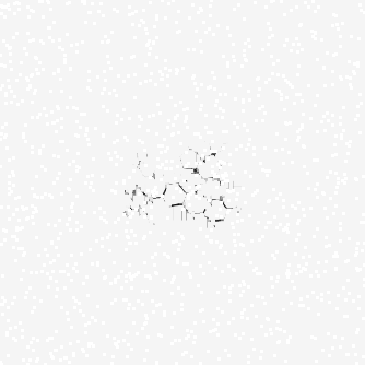 C[C@H](O)COc1cc(F)c(Nc2ncc(Cl)c(N[C@@H]3C[C@@H]4CCCN4C(C)(C)C3)n2)cc1-n1nnc(=O)n1C